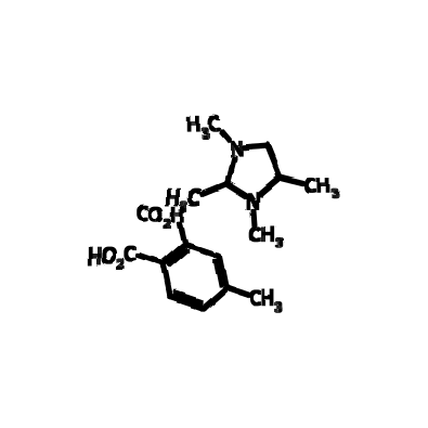 CC1CN(C)C(C)N1C.Cc1ccc(C(=O)O)c(C(=O)O)c1